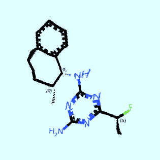 C[C@H](F)c1nc(N)nc(N[C@H]2c3ccccc3CC[C@H]2C)n1